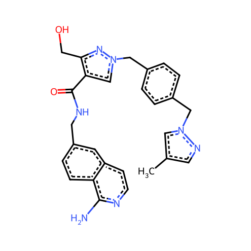 Cc1cnn(Cc2ccc(Cn3cc(C(=O)NCc4ccc5c(N)nccc5c4)c(CO)n3)cc2)c1